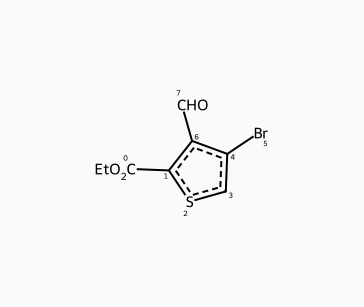 CCOC(=O)c1scc(Br)c1C=O